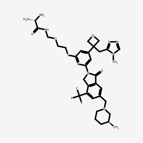 C[C@H]1CCCN(Cc2cc3c(c(C(F)(F)F)c2)CN(c2cc(C4(Cc5nncn5C)COC4)cc(SCCOCNC(=O)[C@H](C)N)n2)C3=O)C1